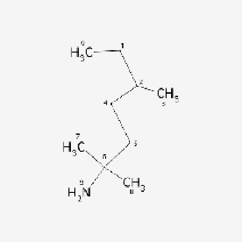 CCC(C)CCC(C)(C)N